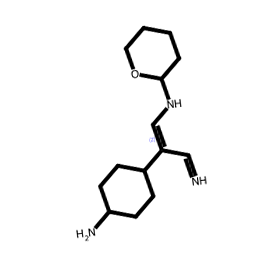 N=C/C(=C\NC1CCCCO1)C1CCC(N)CC1